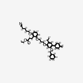 CCOC(=O)CCc1c(OCCCCC#N)cccc1OCCCOc1cc(OCc2ccccc2)c(-c2ccc(F)cc2)cc1CC